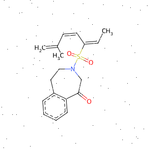 C=C(C)/C=C\C(=C/C)S(=O)(=O)N1CCc2ccccc2C(=O)C1